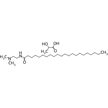 CC(O)C(=O)O.CCCCCCCCCCCCCCCCCCCCCC(=O)NCCN(C)C